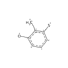 Cc1c([S])cccc1Cl